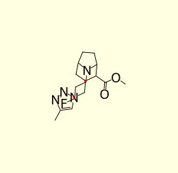 COC(=O)C1C(Cn2cc(C)nn2)CC2CCC1N2CCCF